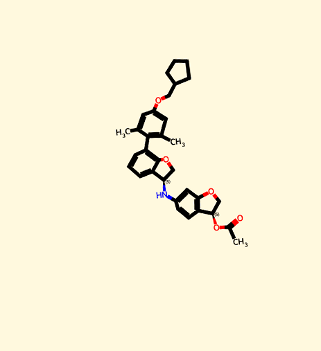 CC(=O)O[C@@H]1COc2cc(N[C@@H]3COc4c(-c5c(C)cc(OCC6CCCC6)cc5C)cccc43)ccc21